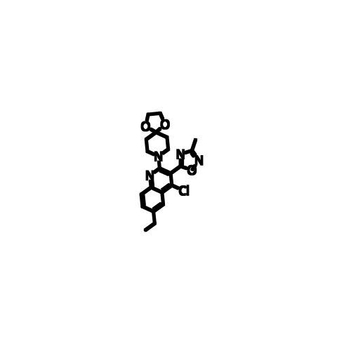 CCc1ccc2nc(N3CCC4(CC3)OCCO4)c(-c3nc(C)no3)c(Cl)c2c1